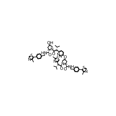 Cc1nc([C@H](C(=O)N2C[C@H](Oc3ccc([C@H](C(=O)N4C[C@H](O)C[C@H]4C(=O)NCc4ccc(-c5scnc5C)cc4)C(C)C)nn3)C[C@H]2C(=O)NCc2ccc(-c3scnc3C)cc2)C(C)C)cs1